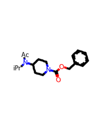 CC(=O)N(C(C)C)C1CCN(C(=O)OCc2ccccc2)CC1